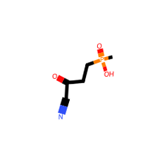 CP(=O)(O)CCC(=O)C#N